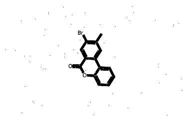 Cc1cc2c(cc1Br)c(=O)oc1ccccc12